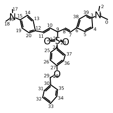 CN(C)c1ccc(C=CC(C=Cc2ccc(N(C)C)cc2)S(=O)(=O)c2ccc(OCc3ccccc3)cc2)cc1